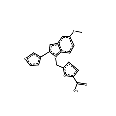 COc1ccc2c(c1)cc(-c1ccsc1)n2Cc1ccc(C(=O)O)o1